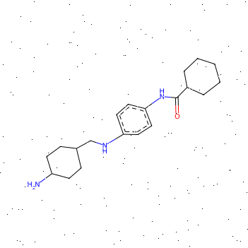 NC1CCC(CNc2ccc(NC(=O)C3CCCCC3)cc2)CC1